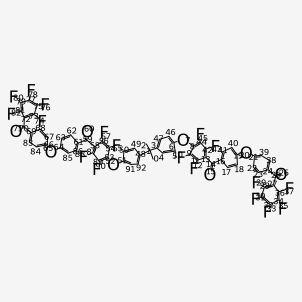 CC(C)(c1ccc(Oc2c(F)c(F)c(C(=O)c3ccc(Oc4ccc(C(=O)c5c(F)c(F)c(F)c(F)c5F)cc4)cc3)c(F)c2F)cc1)c1ccc(Oc2c(F)c(F)c(C(=O)c3ccc(Oc4ccc(C(=O)c5c(F)c(F)c(F)c(F)c5F)cc4)cc3)c(F)c2F)cc1